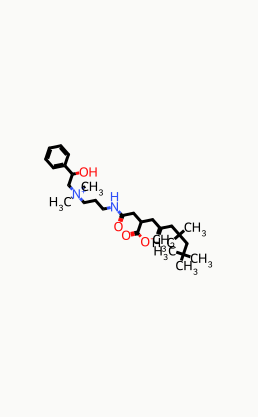 C=C(CC(CC(=O)NCCC[N+](C)(C)CC(O)c1ccccc1)C(=O)[O-])CC(C)(C)CC(C)(C)C